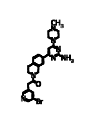 CN1CCN(c2cc(-c3ccc4c(c3)CN(C(=O)Cc3cncc(Br)c3)CC4)nc(N)n2)CC1